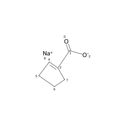 O=C([O-])C1=CCCC1.[Na+]